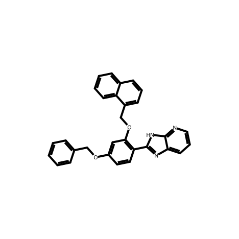 c1ccc(COc2ccc(-c3nc4cccnc4[nH]3)c(OCc3cccc4ccccc34)c2)cc1